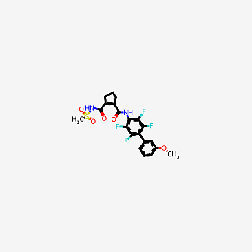 COc1cccc(-c2c(F)c(F)c(NC(=O)C3=C(C(=O)NS(C)(=O)=O)CCC3)c(F)c2F)c1